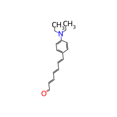 CCN(CC)c1ccc(C=CC=CC=CC=O)cc1